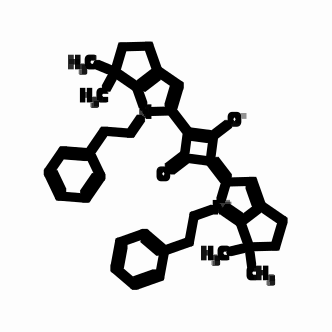 CC1(C)CCC2=C/C(=C3/C(=O)C(c4cc5c(n4CCc4ccccc4)C(C)(C)CC5)=C3[O-])[N+](CCc3ccccc3)=C21